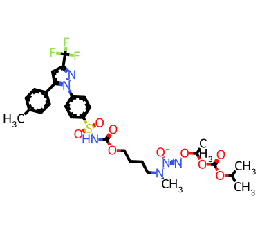 Cc1ccc(-c2cc(C(F)(F)F)nn2-c2ccc(S(=O)(=O)NC(=O)OCCCCN(C)[N+]([O-])=NOC(C)OC(=O)OC(C)C)cc2)cc1